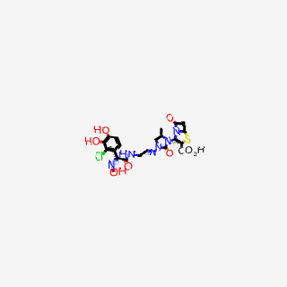 CC1CN(/N=C/CNC(=O)/C(=N\O)c2ccc(O)c(O)c2Cl)C(=O)N1[C@@H]1C(C(=O)O)SC2CC(=O)N21